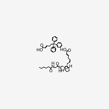 CCCCCC(=O)NCC(=O)NC[C@H]1[C@@H](C/C=C\C/C=C/C(=O)O)[C@H]2CC[C@@H]1O2.O=C(O)C=CCC[PH](c1ccccc1)(c1ccccc1)c1ccccc1